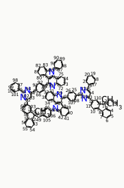 CC1(C)c2ccccc2-c2ccc(-c3cc(-c4ccccc4)nc(-c4ccc(-c5nc6ccccc6c6c5c5ccccc5n6-c5ccc(CC6(C)c7ccccc7-c7ccc(-c8cc(-c9ccc(-c%10nc%11ccccc%11c%11c%10c%10ccccc%10n%11-c%10ccccc%10)cc9)nc(-c9ccccc9)n8)cc76)cc5)cc4)n3)cc21